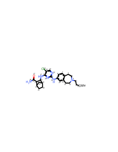 COCCN1CCc2ccc(Nc3ncc(Cl)c(NC4C5CCC(C5)C4C(N)=O)n3)cc2CC1